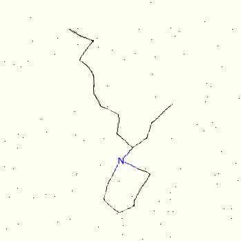 CCCCCCCC(CCC)N1CCCCC1